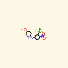 O=[N+]([O-])c1ccc(NC2CCC(O)CC2)cc1C(F)(F)F